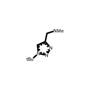 CNCc1cn(C(C)(C)C)nn1